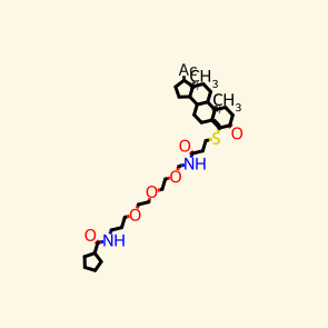 CC(=O)C1CCC2C3CCC4=C(SCCC(=O)NCOCCOCCOCCCNC(=O)C5CCCC5)C(=O)CC[C@]4(C)C3CC[C@]12C